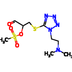 CN(C)CCn1nnnc1SCC(C=O)OS(C)(=O)=O